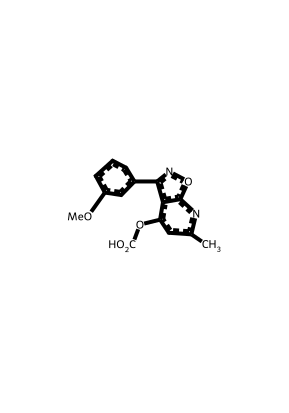 COc1cccc(-c2noc3nc(C)cc(OC(=O)O)c23)c1